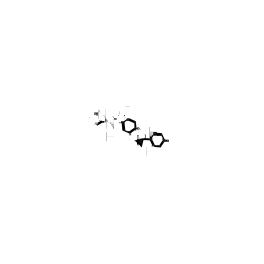 [O-][S+](Nc1cscn1)c1cc(Cl)c(NC2(c3ccc(F)cc3F)CC2)cc1F